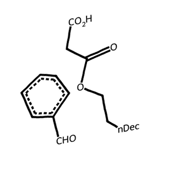 CCCCCCCCCCCCOC(=O)CC(=O)O.O=Cc1ccccc1